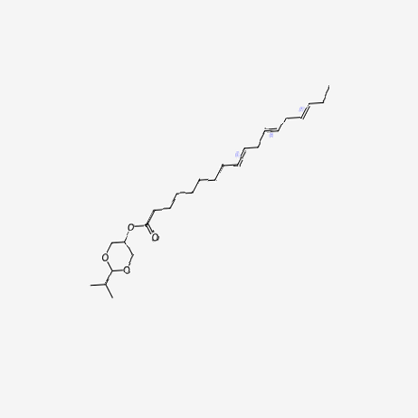 CC/C=C/C/C=C/C/C=C/CCCCCCCC(=O)OC1COC(C(C)C)OC1